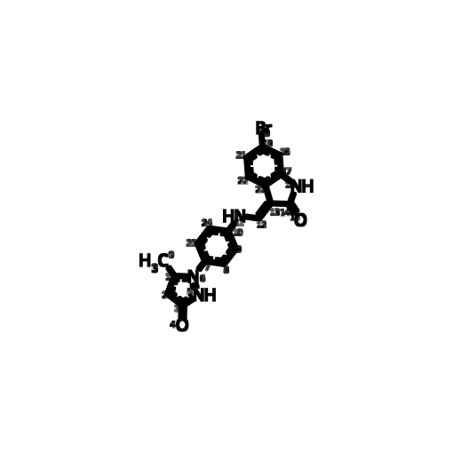 Cc1cc(=O)[nH]n1-c1ccc(N/C=C2/C(=O)Nc3cc(Br)ccc32)cc1